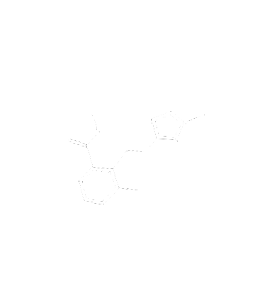 CCc1cccc(C(=O)NCl)c1COc1ccn(O)n1